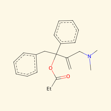 C=C(CN(C)C)C(Cc1ccccc1)(OC(=O)CC)c1ccccc1